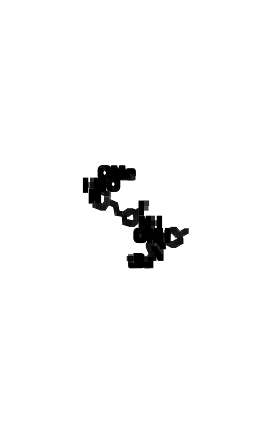 COC(=O)Nc1cc(CCc2ccc(NC(=O)Nc3cc(C(C)(C)C)nn3-c3ccc(C)cc3)c(F)c2)ccn1